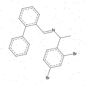 CC(N=Cc1ccccc1-c1ccccc1)c1ccc(Br)cc1Br